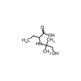 CCC(NC(C)(C)CO)C(=O)O